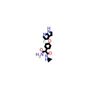 NC(=O)C(C(=O)NC1CC1)c1ccc(Oc2ccnc3[nH]ccc23)c(F)c1